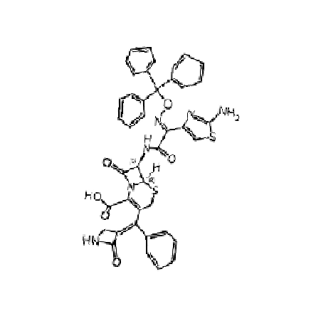 Nc1nc(C(=NOC(c2ccccc2)(c2ccccc2)c2ccccc2)C(=O)N[C@@H]2C(=O)N3C(C(=O)O)=C(C(=C4CNC4=O)c4ccccc4)CS[C@H]23)cs1